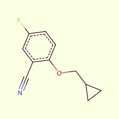 N#Cc1cc(F)ccc1OCC1CC1